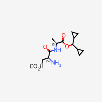 C[C@H](NC(=O)[C@@H](N)CC(=O)O)C(=O)OC(C1CC1)C1CC1